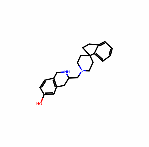 Oc1ccc2c(c1)CC(CN1CCC3(CCc4ccccc43)CC1)NC2